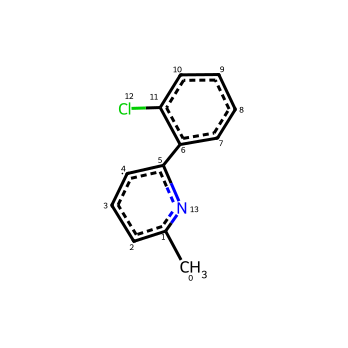 Cc1cc[c]c(-c2ccccc2Cl)n1